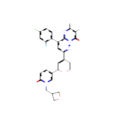 Cc1nc2c(-c3ccc(Cl)cc3F)cc(C3=CC(c4ccc(=O)n(CC5COC5)c4)OCC3)nn2c(=O)c1C